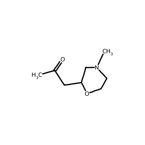 CC(=O)CC1CN(C)CCO1